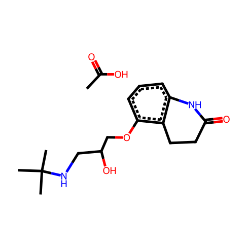 CC(=O)O.CC(C)(C)NCC(O)COc1cccc2c1CCC(=O)N2